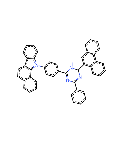 c1ccc(C2=NC(c3cc4ccccc4c4ccccc34)NC(c3ccc(-n4c5ccccc5c5ccc6ccccc6c54)cc3)=N2)cc1